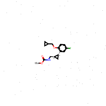 CC(C)(C)OC(=O)NC[C@@H]1C[C@H]1c1cc(F)ccc1OCC1CC1